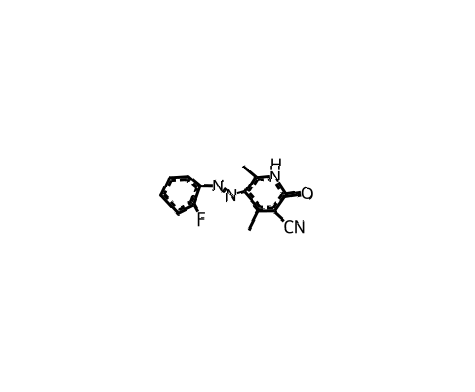 Cc1[nH]c(=O)c(C#N)c(C)c1N=Nc1ccccc1F